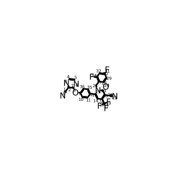 N#Cc1nccnc1Oc1ccc(-c2cc(C(F)(F)F)c(C#N)c(=O)n2Cc2ccc(F)cc2F)cc1